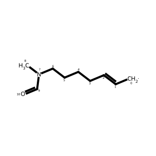 [CH2]C=CCCCCN(C)C=O